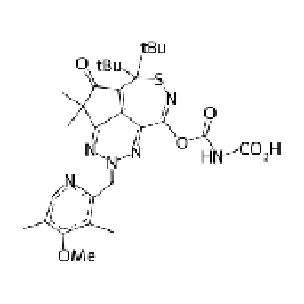 COc1c(C)cnc(CN2N=C3C(OC(=O)NC(=O)O)=NSC(C(C)(C)C)(C(C)(C)C)C4=C3C(=N2)C(C)(C)C4=O)c1C